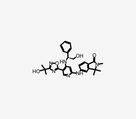 CN1C(=O)c2ccc(Nc3cc(N[C@H](CO)c4ccccc4)c(-c4nc(C(C)(C)O)no4)cn3)cc2C1(C)C